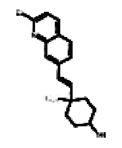 CCc1ccc2ccc(/C=C/C3(C(=O)O)CCC(O)CC3)cc2n1